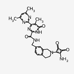 Cc1cc(C)nc(-c2nc(C(=O)NCc3ccc4c(c3)CN(c3c(N)c(=O)c3=O)CC4)[nH]c(=O)c2C)n1